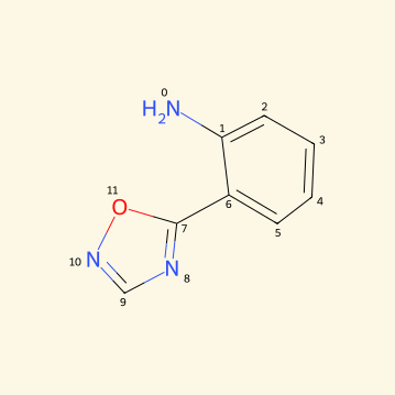 Nc1ccccc1-c1ncno1